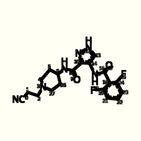 N#CCCN1CCC(NC(=O)c2n[nH]cc2NC(=O)c2c(F)cccc2F)CC1